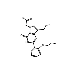 CCCOc1ccccc1-c1nc2c(CCC)nn(CC(=O)O)c2c(=O)[nH]1